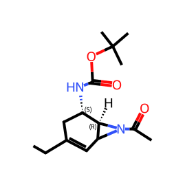 CCC1=CC2[C@@H]([C@@H](NC(=O)OC(C)(C)C)C1)N2C(C)=O